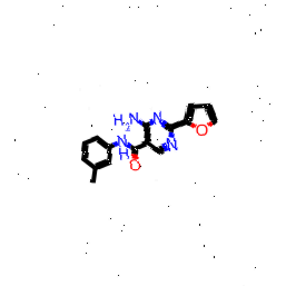 Cc1cccc(NC(=O)c2cnc(-c3ccco3)nc2N)c1